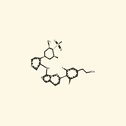 C[C@H]1C[C@@H](c2ccncc2Nc2ncc3ccc(-c4c(F)cc(CCO)cc4F)nn23)C[C@@H](N)[C@@H]1S(C)(=O)=O